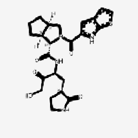 O=C(CO)C(C[C@@H]1CCNC1=O)NC(=O)[C@@H]1[C@H]2CCC[C@H]2CN1C(=O)c1cc2ccsc2[nH]1